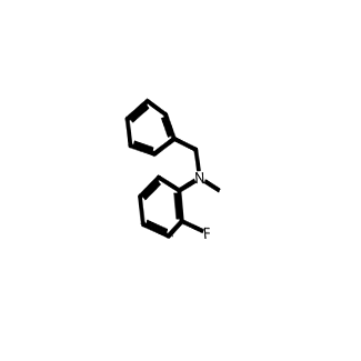 CN(Cc1ccccc1)c1ccc[c]c1F